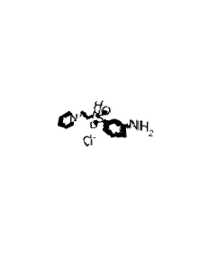 Nc1cccc(S(=O)(=O)NCC[n+]2ccccc2)c1.[Cl-]